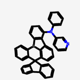 c1ccc(N(c2cccnc2)c2cccc3c2-c2cccc4c2B3c2ccccc2C42c3ccccc3-c3ccccc32)cc1